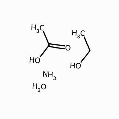 CC(=O)O.CCO.N.O